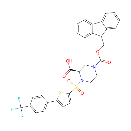 O=C(O)[C@H]1CN(C(=O)OCC2c3ccccc3-c3ccccc32)CCN1S(=O)(=O)c1ccc(-c2ccc(C(F)(F)F)cc2)s1